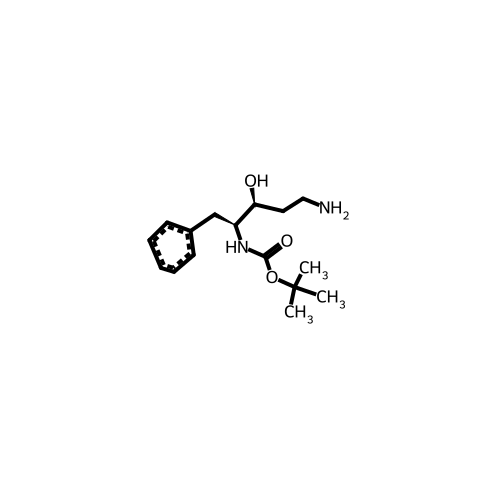 CC(C)(C)OC(=O)N[C@@H](Cc1ccccc1)[C@@H](O)CCN